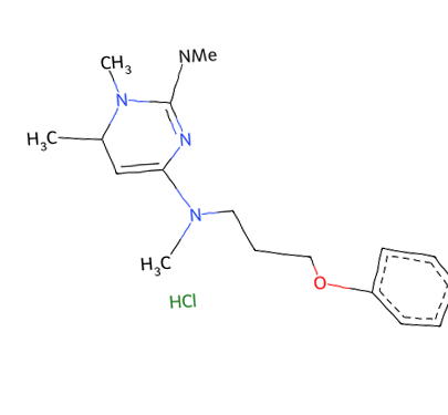 CNC1=NC(N(C)CCCOc2ccccc2)=CC(C)N1C.Cl